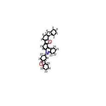 c1ccc2c(c1)Cc1ccc3c(oc4c3ccc3c4c4ccccc4n3-c3ccc4oc5ccccc5c4c3)c1-2